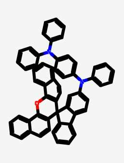 c1ccc(N(c2ccccc2)c2ccc(N(c3ccccc3)c3ccc4c(c3)C3(c5ccccc5-4)c4ccc5ccccc5c4Oc4c3ccc3ccccc43)cc2)cc1